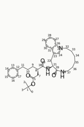 CC(C)(C)OC(=O)C[C@@H](CCCc1ccccc1)C(=O)N[C@H]1Cc2cn(c3ccccc23)CCCCCCNC1=O